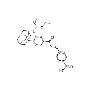 CCOC(OC)Oc1cc(C(=O)COc2ccc(C(=O)O)cc2)ccc1C12CC3CC(CC(C3)C1)C2